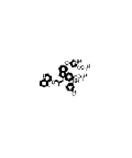 C[C@@H](COc1ccnc2c1[C@H](C)CCC2)C[C@H]1Cc2ccc(O[C@@H]3CN[C@H](C(=O)O)C3)cc2C12CCC(Nc1cccc(Cl)c1)(C(=O)O)CC2